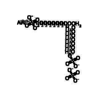 O.O.O.O.O.O.O.O.O.O.O.O.O.O.O.O.O=S(=O)([O-])[O-].O=S(=O)([O-])[O-].O=S(=O)([O-])[O-].[Al+3].[Al+3]